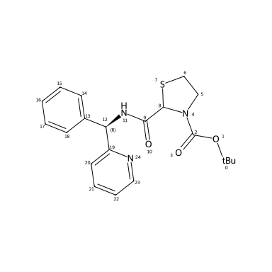 CC(C)(C)OC(=O)N1CCSC1C(=O)N[C@H](c1ccccc1)c1ccccn1